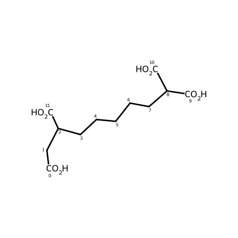 O=C(O)CC(CCCCCC(C(=O)O)C(=O)O)C(=O)O